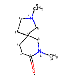 CN1CCC2(CCC(=O)N(C)C2)C1